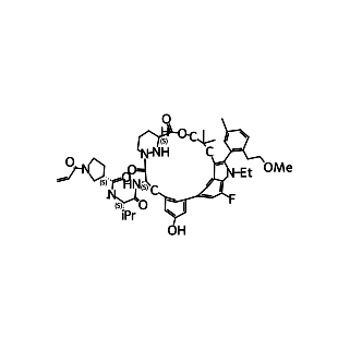 C=CC(=O)N1CC[C@H](C(=O)N(C)[C@H](C(=O)N[C@H]2Cc3cc(O)cc(c3)-c3cc(F)c4c(c3)c(c(-c3cc(C)ccc3CCOC)n4CC)CC(C)(C)COC(=O)[C@@H]3CCCN(N3)C2=O)C(C)C)C1